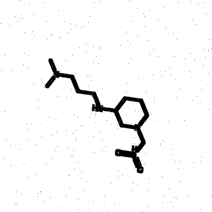 CN(C)CCCNC1CCCN(C[SH](=O)=O)C1